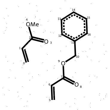 C=CC(=O)OC.C=CC(=O)OCc1ccccc1